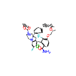 C[C@@H](COc1ccc(C(N)=O)c(-c2c(Cl)c(F)cc3c2CC2(c4ccccc4)CN(C(=O)OC(C)(C)C)CCN32)c1F)O[Si](C)(C)C(C)(C)C